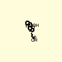 CC12CC[C@@H]3[C@H](C1CC[C@@H]2CCCC(=O)O)[C@@H](O)CC1CCCCC13C